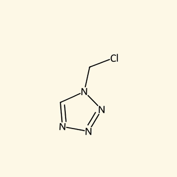 ClCn1cnnn1